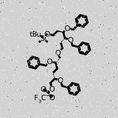 CC(C)(C)[Si](C)(C)OCC[C@@H](OCc1ccccc1)[C@@H](CCOC[C@H](CC[C@@H](COS(=O)(=O)C(F)(F)F)OCc1ccccc1)OCc1ccccc1)OCc1ccccc1